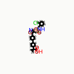 O=C(O)C1(c2ccc(-c3ccc(-c4oncc4CS(=O)(=O)NCc4ccccc4Cl)cc3)cc2)CC1